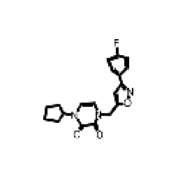 O=c1c(=O)n(C2CCCC2)ccn1Cc1cc(-c2ccc(F)cc2)no1